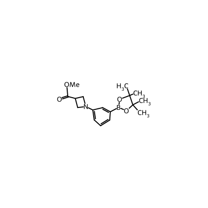 COC(=O)C1CN(c2cccc(B3OC(C)(C)C(C)(C)O3)c2)C1